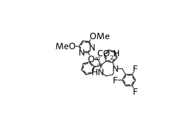 COc1cc(OC)nc(O[C@H](C(=O)O)[C@@]2(c3ccccc3)NCCN(Cc3c(F)cc(F)cc3F)c3ccccc32)n1